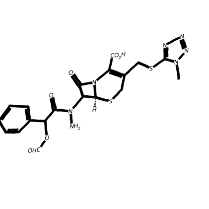 Cn1nnnc1SCC1=C(C(=O)O)N2C(=O)C(N(N)C(=O)C(OC=O)c3ccccc3)[C@@H]2SC1